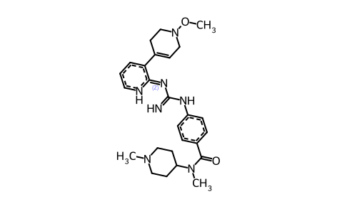 CON1CC=C(c2ccc[nH]/c2=N\C(=N)Nc2ccc(C(=O)N(C)C3CCN(C)CC3)cc2)CC1